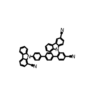 N#Cc1ccc(-c2ccc(-c3ccc(-n4c5ccccc5c5cccc(C#N)c54)cc3)cc2)c(-n2c3ccccc3c3cc(C#N)ccc32)c1